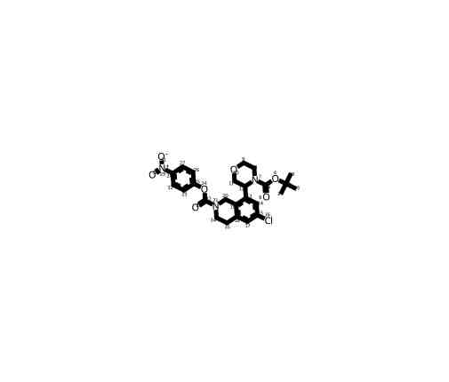 CC(C)(C)OC(=O)N1CCOCC1c1cc(Cl)cc2c1CN(C(=O)Oc1ccc([N+](=O)[O-])cc1)CC2